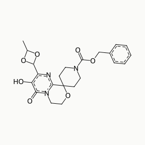 CC1OC(c2nc3n(c(=O)c2O)CCOC32CCN(C(=O)OCc3ccccc3)CC2)O1